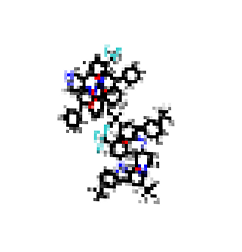 CC(C)(C)c1ccc2c(c1)c1cc(C(C)(C)C)ccc1n2-c1cc(C(F)(F)F)ccc1-c1cnccc1-n1c2ccc(C(C)(C)C)cc2c2cc(C(C)(C)Cc3cccc4c3c3cc(-c5ccccc5)ccc3n4-c3cc(C(F)(F)F)ccc3-c3cnccc3-n3c4ccccc4c4cc(-c5ccccc5)ccc43)ccc21